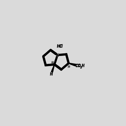 Cl.O=C(O)[C@H]1C[C@@H]2CCCN2C1